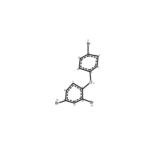 Brc1ccc(Oc2ccc(Br)cc2Br)cc1